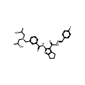 CC(O)CN(Cc1cccc(C(=O)Nc2sc3c(c2C(=O)N/N=C/c2ccc(F)cc2)CCC3)c1)CC(C)O